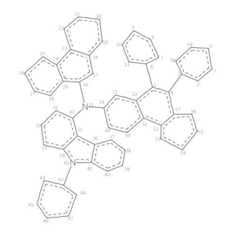 c1ccc(-c2c(-c3ccccc3)c3cc(N(c4cc5ccccc5c5ccccc45)c4cccc5c4c4ccccc4n5-c4ccccc4)ccc3c3ccccc23)cc1